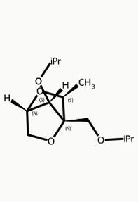 CC(C)OC[C@]12OC[C@H](O[C@H]1C)[C@@H]2OC(C)C